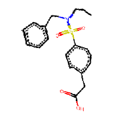 CCN(Cc1ccccc1)S(=O)(=O)c1ccc(CC(=O)O)cc1